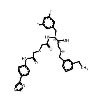 CCc1cccc(CNC[C@H](O)[C@H](Cc2cc(F)cc(F)c2)NC(=O)CSCC(=O)Nc2ccc(-c3cnco3)cc2)c1